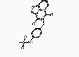 CS(=O)(=O)Nc1ccc(Cn2c(=O)c3cccc4ncc(c2=O)n43)cc1